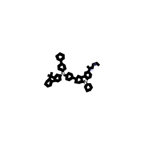 C/C=C\C=C(/C)c1ccc2c(c1)c1cc(-c3ccc(N(c4ccc(-c5ccccc5)cc4)c4ccc5c(c4)C(C)(C)c4ccccc4-5)cc3)ccc1n2-c1ccccc1